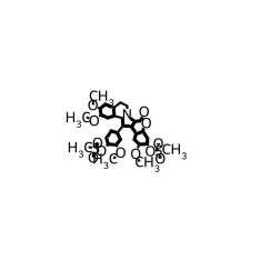 COc1cc2c(cc1OC)-c1c(-c3ccc(OS(C)(=O)=O)c(OC)c3)c3c4cc(OC)c(OS(C)(=O)=O)cc4oc(=O)c3n1CC2